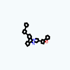 c1ccc(-c2cccc(-c3ccc4c(c3)c3ccccc3c3nc5cc(-c6ccc7oc8ccccc8c7c6)ccn5c43)c2)cc1